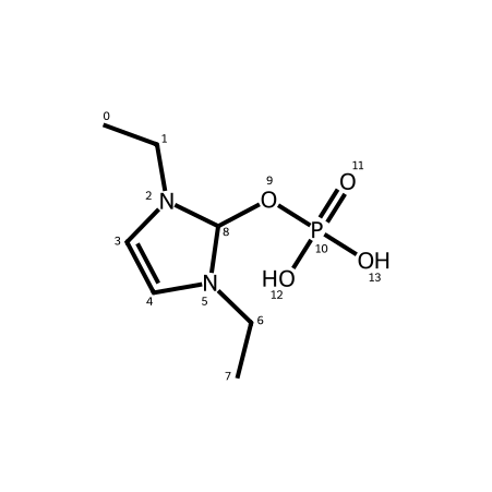 CCN1C=CN(CC)C1OP(=O)(O)O